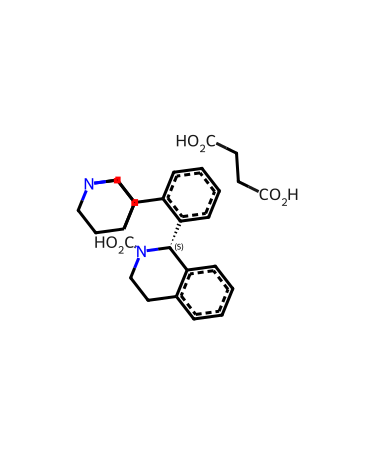 O=C(O)CCC(=O)O.O=C(O)N1CCc2ccccc2[C@H]1c1ccccc1C1CN2CCC1CC2